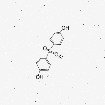 O=S(=O)(c1ccc(O)cc1)c1ccc(O)cc1.[K]